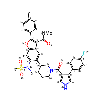 CNC(=O)c1c(-c2ccc(C)cc2)oc2cc(N(C)S(C)(=O)=O)c([C@@H]3CCCN(C(=O)c4c[nH]cc4-c4ccc(F)cc4)C3)cc12